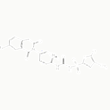 C=C(/C=C\C(=C/C)N1C(=O)Cc2ccc(Br)cc2C1=O)NC(=O)NS(=O)(=O)c1cc(C)c(Cl)s1